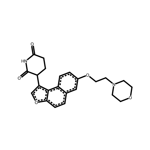 O=C1CCC(c2coc3ccc4cc(OCCN5CCOCC5)ccc4c23)C(=O)N1